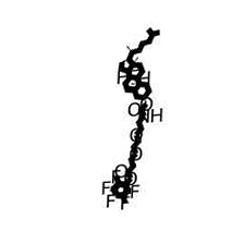 CC(C)CCC[C@@H](C)[C@H]1CC[C@H]2[C@@H]3CC=C4C[C@@H](OC(=O)NCCOCCOCCC(=O)Oc5c(F)c(F)c(F)c(F)c5F)CC[C@]4(C)[C@H]3CC[C@]12C